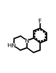 Fc1ccc2c(c1)N1CCNCC1CC2